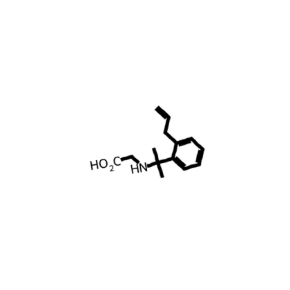 C=CCc1ccccc1C(C)(C)NCC(=O)O